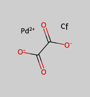 O=C([O-])C(=O)[O-].[Cf].[Pd+2]